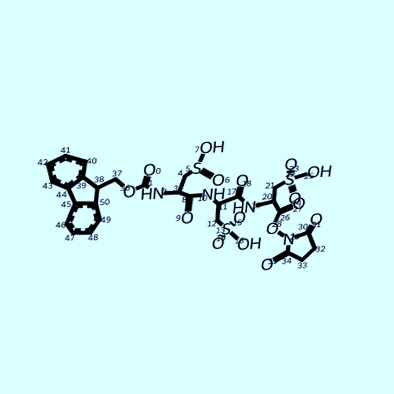 O=C(NC(CS(=O)O)C(=O)NC(CS(=O)(=O)O)C(=O)NC(CS(=O)(=O)O)C(=O)ON1C(=O)CCC1=O)OCC1c2ccccc2-c2ccccc21